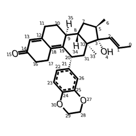 CC=C[C@]1(O)[C@H](C)C[C@H]2[C@@H]3CCC4=CC(=O)CCC4=C3[C@@H](c3ccc4c(c3)OCCO4)C[C@@]21C